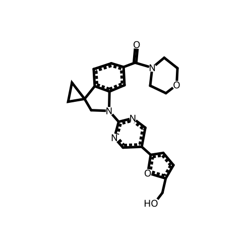 O=C(c1ccc2c(c1)N(c1ncc(-c3ccc(CO)o3)cn1)CC21CC1)N1CCOCC1